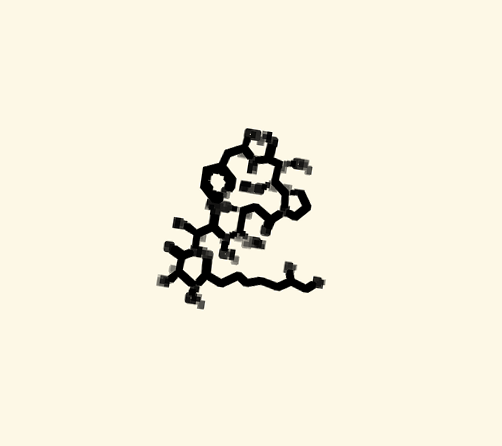 CC[C@@H](C)[C@@H]([C@@H](CC(=O)N1CCC[C@H]1[C@H](OC)[C@@H](C)C(=O)N[C@@H](Cc1ccccc1)C(=O)O)OC)N(C)C(=O)[C@@H](NC(=O)[C@H](C(C)C)N(C)C(=O)CCCCCC(Br)CBr)C(C)C